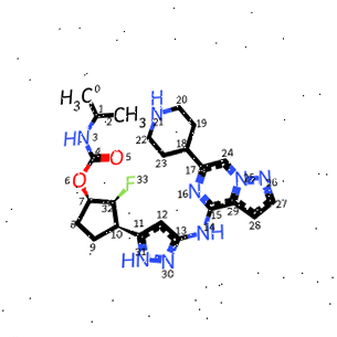 CC(C)NC(=O)O[C@@H]1CC[C@H](c2cc(Nc3nc(C4CCNCC4)cn4nccc34)n[nH]2)[C@@H]1F